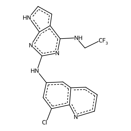 FC(F)(F)CNc1nc(Nc2cc(Cl)c3ncccc3c2)nc2[nH]ccc12